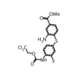 COC(=O)c1ccc(Sc2ccc(NC(=O)OCC(Cl)(Cl)Cl)c(F)c2)c(N)c1